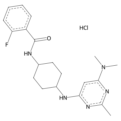 Cc1nc(NC2CCC(NC(=O)c3ccccc3F)CC2)cc(N(C)C)n1.Cl